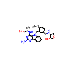 CCC[C@@H](CO)Nc1nc(N)nc2c3ccccc3n(Cc3cc(CN[C@@H]4COC[C@H]4O)ccc3OC)c12